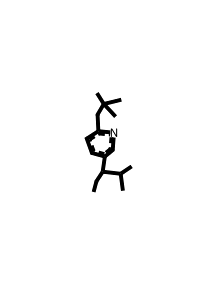 CCC(c1ccc(CC(C)(C)C)nc1)C(C)C